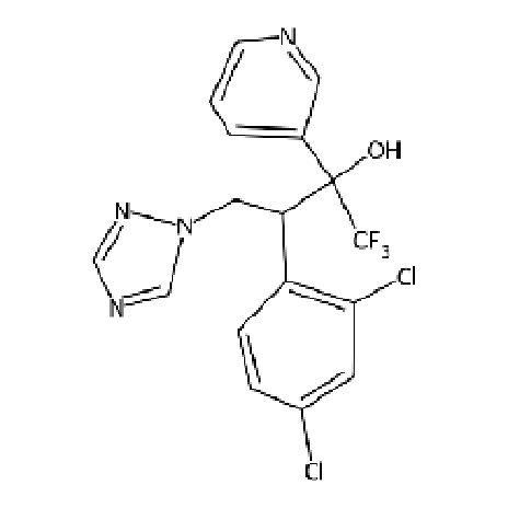 OC(c1cccnc1)(C(Cn1cncn1)c1ccc(Cl)cc1Cl)C(F)(F)F